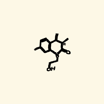 C=C1c2ccc(C)cc2N(CCO)C(=O)[C@@H]1C